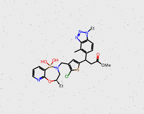 CC[C@@H]1CN(Cc2cc(C(CC(=O)OC)c3ccc4c(nnn4CC)c3C)sc2Cl)S(O)(O)c2cccnc2O1